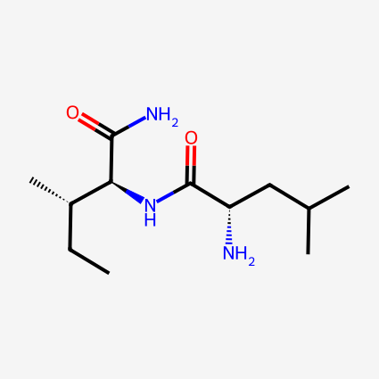 CC[C@H](C)[C@H](NC(=O)[C@@H](N)CC(C)C)C(N)=O